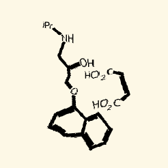 CC(C)NCC(O)COc1cccc2ccccc12.O=C(O)/C=C\C(=O)O